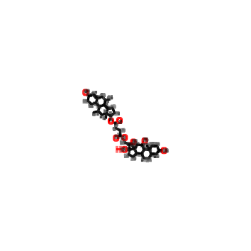 CC1CC2(C)C(OC(=O)CCC(=O)OCC(=O)C3(O)CCC4C5CCC6=CC(=O)C=CC6(C)C5C(=O)CC43C)CCC2C2C(C)CC3=CC(=O)CCC3C12